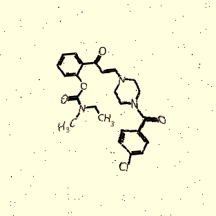 CCN(C)C(=O)Oc1ccccc1C(=O)C=CN1CCN(C(=O)c2ccc(Cl)cc2)CC1